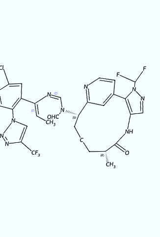 C/C=C(\N=C/N(C=O)[C@H]1CCC[C@@H](C)C(=O)Nc2cnn(C(F)F)c2-c2ccnc1c2)c1cc(Cl)ccc1-n1cc(C(F)(F)F)nn1